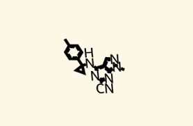 Cc1ccc(C2(Nc3nc(C#N)nc4c3cnn4C)CC2)cc1